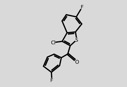 O=C(c1cccc(F)c1)c1sc2cc(F)ccc2c1Cl